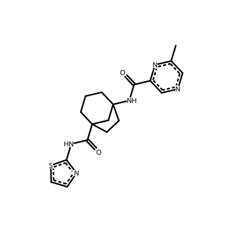 Cc1cncc(C(=O)NC23CCCC(C(=O)Nc4nccs4)(CC2)C3)n1